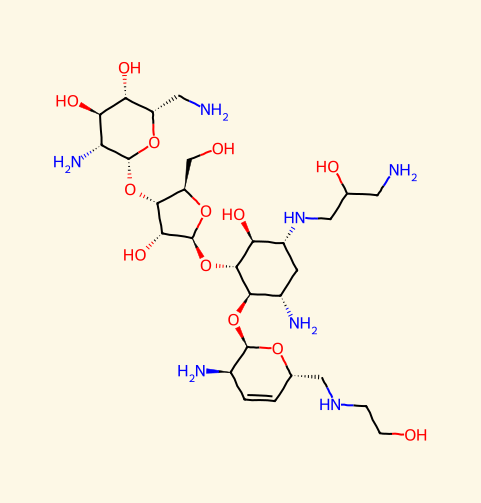 NCC(O)CN[C@@H]1C[C@H](N)[C@@H](O[C@H]2O[C@H](CNCCO)C=C[C@H]2N)[C@H](O[C@@H]2O[C@H](CO)[C@@H](O[C@H]3O[C@@H](CN)[C@@H](O)[C@H](O)[C@H]3N)[C@H]2O)[C@H]1O